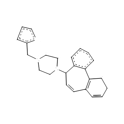 C1=CC2=C(CC1)c1ccccc1C(N1CCN(Cc3cccs3)CC1)C=C2